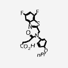 CCCOc1ccc(N(Cc2nc3cc(F)cc(F)c3s2)C(=O)CCC(=O)O)cc1